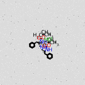 CC(C)(C)OC(=O)N[C@H](CNC[C@H](Cc1ccccc1)NC(=O)OC(C)(C)C)Cc1ccccc1.Cl